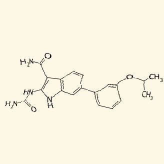 CC(C)Oc1cccc(-c2ccc3c(C(N)=O)c(NC(N)=O)[nH]c3c2)c1